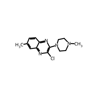 Cc1ccc2nc(N3CCN(C)CC3)c(Cl)nc2c1